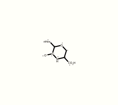 CCCCCCC1OCC(C(=O)O)N[S+]1[O-]